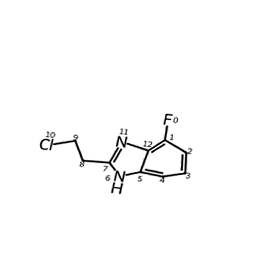 Fc1cccc2[nH]c(CCCl)nc12